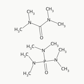 CN(C)C(=O)N(C)C.CN(C)P(=O)(N(C)C)N(C)C